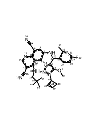 COc1c([C@@H](Nc2cc(C#N)c3ncc(C#N)c(NCC(C)(C)C)c3c2)c2ccc(F)nc2C)nnn1C12CC(C1)C2